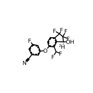 [2H][C@]1(O)c2c(ccc(Oc3cc(F)cc(C#N)c3)c2C(F)F)C(F)(F)C1(F)F